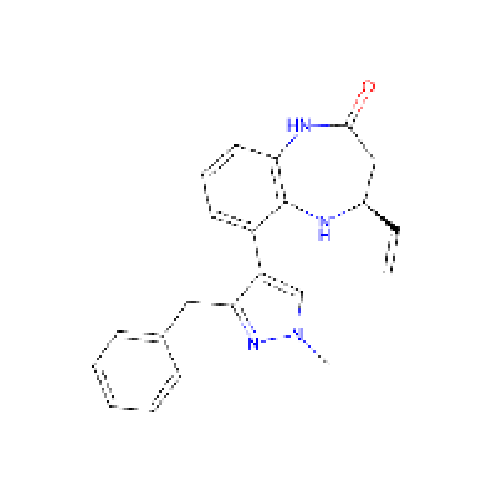 C=C[C@@H]1CC(=O)Nc2cccc(-c3cn(C)nc3Cc3ccccc3)c2N1